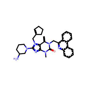 C=C1c2c(nc(N3CCCC(N)C3)n2CC2=CCCC2)N(C)C(=O)N1Cc1nc2ccccc2c2ccccc12